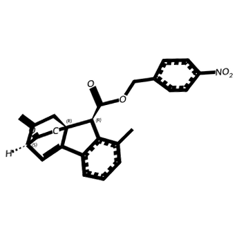 C=C1C[C@]23CC(=O)[C@H]1C=C2c1cccc(C)c1[C@@H]3C(=O)OCc1ccc([N+](=O)[O-])cc1